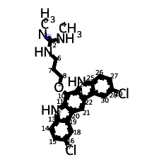 C/N=C(\NC)NCCCOc1c2[nH]c3ccc(Cl)cc3c2cc2c1[nH]c1ccc(Cl)cc12